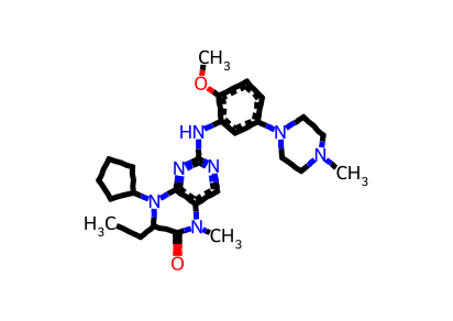 CCC1C(=O)N(C)c2cnc(Nc3cc(N4CCN(C)CC4)ccc3OC)nc2N1C1CCCC1